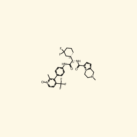 Cc1c(-c2ccc(NC(=O)[C@@H](NC(=O)c3ccc4n3CCN(C)C4)[C@H]3CCCC(F)(F)C3)cc2)c(C(F)(F)F)cc[n+]1[O-]